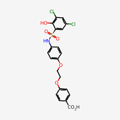 O=C(O)c1ccc(OCCOc2ccc(NS(=O)(=O)c3cc(Cl)cc(Cl)c3O)cc2)cc1